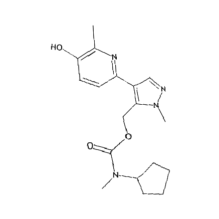 Cc1nc(-c2cnn(C)c2COC(=O)N(C)C2CCCC2)ccc1O